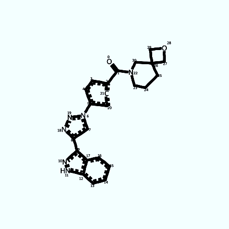 O=C(c1ccc(-n2cc(-c3n[nH]c4ccccc34)nn2)cc1)N1CCCC2(COC2)C1